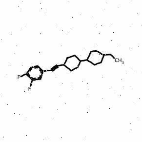 CCC1CCC(C2CCC(C#Cc3ccc(F)c(F)c3)CC2)CC1